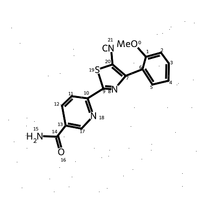 COc1ccccc1-c1nc(-c2ccc(C(N)=O)cn2)sc1C#N